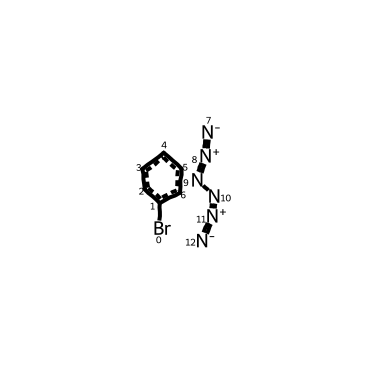 Brc1ccccc1.[N-]=[N+]=NN=[N+]=[N-]